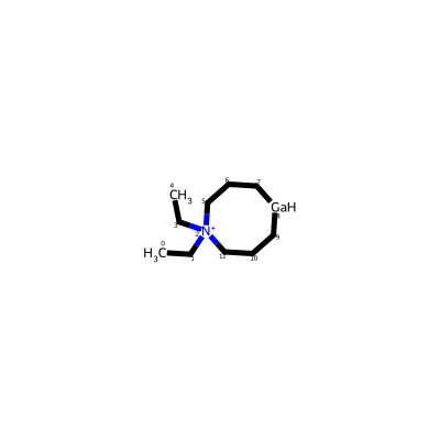 CC[N+]1(CC)CC[CH2][GaH][CH2]CC1